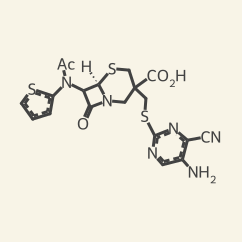 CC(=O)N(c1cccs1)C1C(=O)N2CC(CSc3ncc(N)c(C#N)n3)(C(=O)O)CS[C@H]12